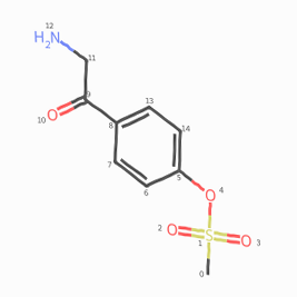 CS(=O)(=O)Oc1ccc(C(=O)CN)cc1